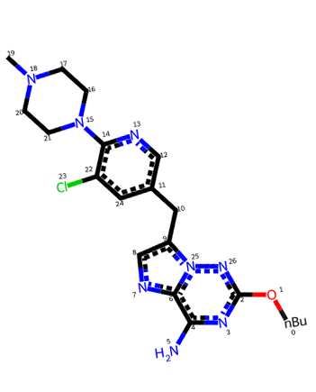 CCCCOc1nc(N)c2ncc(Cc3cnc(N4CCN(C)CC4)c(Cl)c3)n2n1